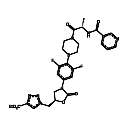 CCOC(=O)c1cn(C[C@H]2CN(c3cc(F)c(N4CCN(C(=O)[C@H](C)NC(=O)c5cccnc5)CC4)c(F)c3)C(=O)O2)nn1